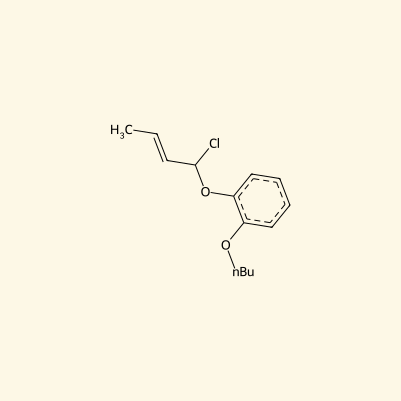 C/C=C/C(Cl)Oc1ccccc1OCCCC